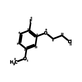 COc1ccc(F)c(OCCCl)c1